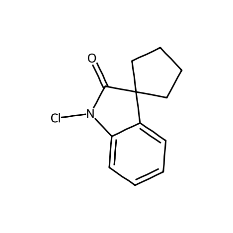 O=C1N(Cl)c2ccccc2C12CCCC2